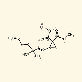 CCCCC(C)(O)/C=C/C1CC1(C(=O)OC)C(=O)OC